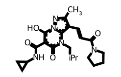 Cc1nn2c(O)c(C(=O)NC3CC3)c(=O)n(CC(C)C)c2c1C=CC(=O)N1CCCC1